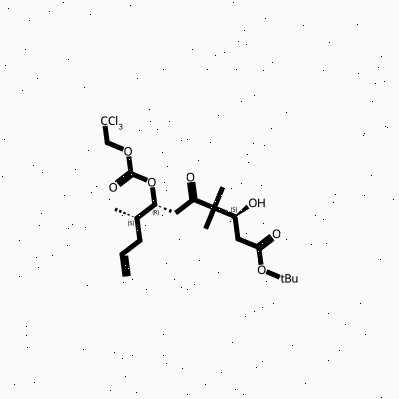 C=CC[C@H](C)[C@@H](CC(=O)C(C)(C)[C@@H](O)CC(=O)OC(C)(C)C)OC(=O)OCC(Cl)(Cl)Cl